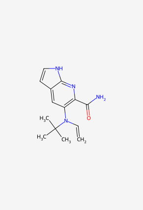 C=CN(c1cc2cc[nH]c2nc1C(N)=O)C(C)(C)C